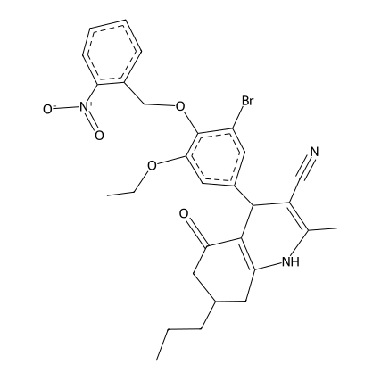 CCCC1CC(=O)C2=C(C1)NC(C)=C(C#N)C2c1cc(Br)c(OCc2ccccc2[N+](=O)[O-])c(OCC)c1